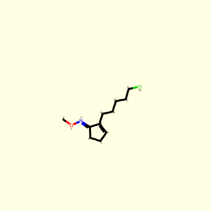 CON=C1CCC=C1CCCCCCl